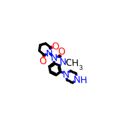 Cn1c(=O)n(N2C(=O)CCCC2=O)c2cccc(N3CCNCC3)c21